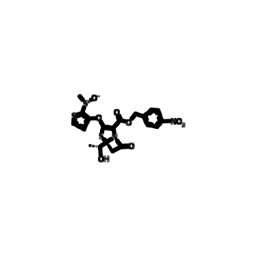 C[C@@H](O)[C@@]12CC(=O)N1C(C(=O)OCc1ccc([N+](=O)[O-])cc1)=C(Oc1ccsc1[S+](C)[O-])S2